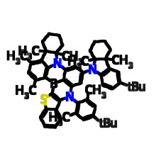 Cc1cc(C)c2c3c1B1c4sc5ccccc5c4N(c4c(C)cc(C(C)(C)C)cc4C)c4cc(N5c6ccc(C(C)(C)C)cc6C6(C)CCCCC56C)cc(c41)N3C1(C)CCCCC21C